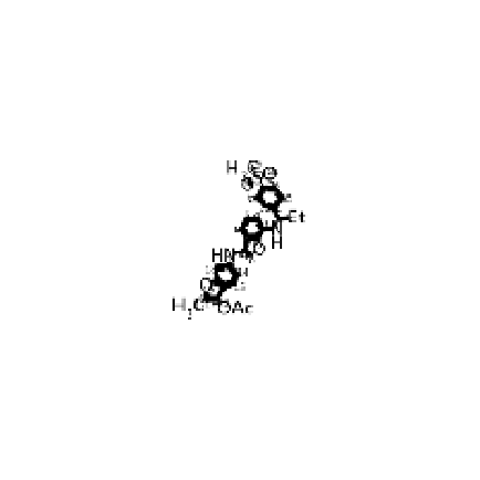 CCC(Nc1cccc2c1OC[C@H]2Nc1ccc2c(c1)OC(C)[C@H]2OC(C)=O)c1ccc(S(C)(=O)=O)cc1